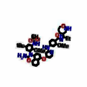 CCC(NC(=O)c1ccc(Nc2cc(Oc3ccc(N(C(N)=O)c4cc(C(C)(C)C)cc(NS(C)(=O)=O)c4OC)c4ccccc34)ccn2)cc1OC)C1CCCONC1